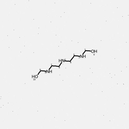 OCNCCNCCNCO